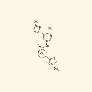 Cc1nnc(C23CCCC(C2)N3C(=O)Nc2ccc(C)c(-c3ccn(C)n3)c2)o1